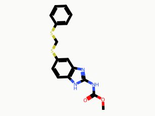 COC(=O)Nc1nc2cc(SCSc3ccccc3)ccc2[nH]1